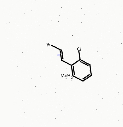 Clc1ccccc1/C=C/Br.[MgH2]